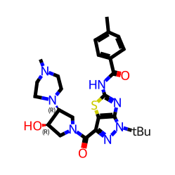 Cc1ccc(C(=O)Nc2nc3c(s2)c(C(=O)N2C[C@@H](O)[C@H](N4CCN(C)CC4)C2)nn3C(C)(C)C)cc1